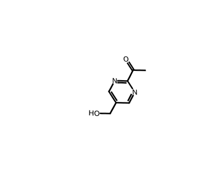 CC(=O)c1ncc(CO)cn1